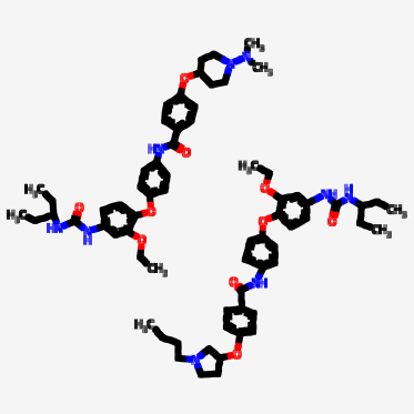 CCCCN1CCC(Oc2ccc(C(=O)Nc3ccc(Oc4ccc(NC(=O)NC(CC)CC)cc4OCC)cc3)cc2)C1.CCOc1cc(NC(=O)NC(CC)CC)ccc1Oc1ccc(NC(=O)c2ccc(OC3CCN(N(C)C)CC3)cc2)cc1